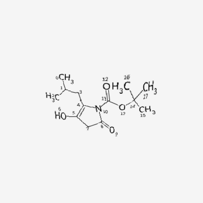 CC(C)CC1=C(O)CC(=O)N1C(=O)OC(C)(C)C